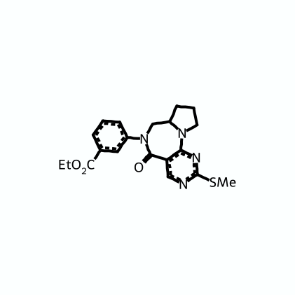 CCOC(=O)c1cccc(N2CC3CCCN3c3nc(SC)ncc3C2=O)c1